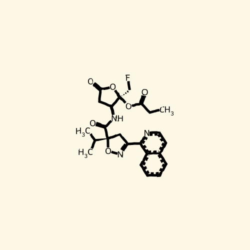 CCC(=O)O[C@]1(CF)OC(=O)CC1NC(=O)[C@]1(C(C)C)CC(c2nccc3ccccc23)=NO1